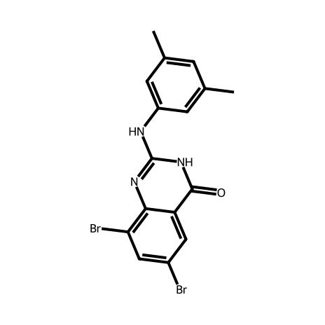 Cc1cc(C)cc(Nc2nc3c(Br)cc(Br)cc3c(=O)[nH]2)c1